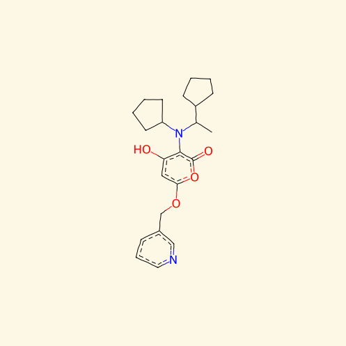 CC(C1CCCC1)N(c1c(O)cc(OCc2cccnc2)oc1=O)C1CCCC1